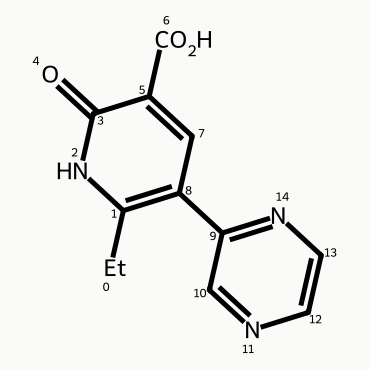 CCc1[nH]c(=O)c(C(=O)O)cc1-c1cnccn1